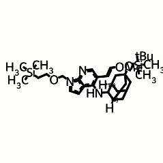 COC=Cc1cnc2c(ccn2COCC[Si](C)(C)C)c1NC1[C@@H]2CC3C[C@H]1CC(O[Si](C)(C)C(C)(C)C)(C3)C2